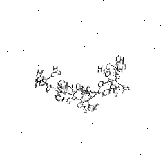 CCC(O[SiH](C)C)[Si](C)(C)OC(C)(C)C(CC)[Si](C)(C)OC(C)[Si](C)(C)O[SiH](C)C